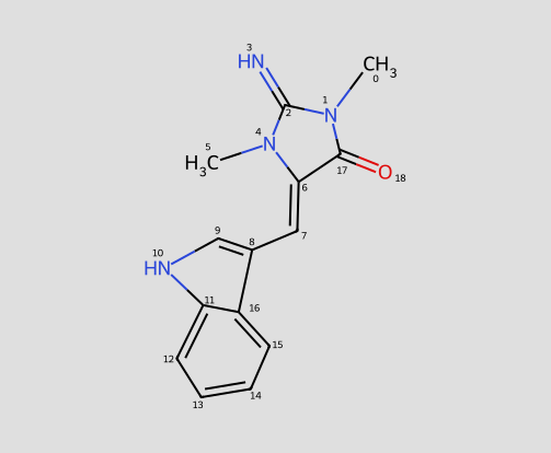 CN1C(=N)N(C)/C(=C\c2c[nH]c3ccccc23)C1=O